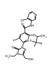 CCn1c(CO)nn(-c2nc(OC(C)C(F)(F)F)c(C(=O)Nc3cnccc3Cl)cc2F)c1=O